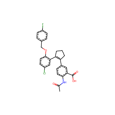 CC(=O)Nc1ccc(C2=C(c3cc(Cl)ccc3OCc3ccc(F)cc3)CCC2)cc1C(=O)O